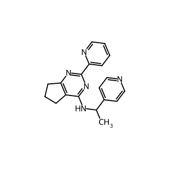 CC(Nc1nc(-c2ccccn2)nc2c1CCC2)c1ccncc1